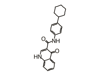 O=C(Nc1ccc(C2CCCCC2)cc1)c1c[nH]c2ccccc2c1=O